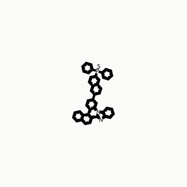 S=P(c1ccccc1)(c1ccccc1)c1ccc2cc(-c3ccc4c5c6ccccc6ccc5c5nc6ccccc6n5c4c3)ccc2c1